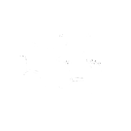 COC(C)(C)N(C(C)=C(C)C)c1c(C)cccc1C